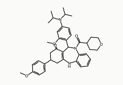 COc1ccc(C2CC(=O)C3=C(C2)Nc2ccccc2N(C(=O)C2CCOCC2)C3c2ccc(N(C(C)C)C(C)C)cc2OC)cc1